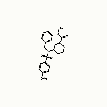 COc1ccc(S(=O)(=O)N(Cc2ccccc2)C2CCCN(C(=O)OC(C)(C)C)C2)cc1